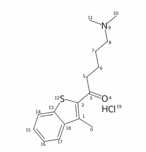 Cc1c(C(=O)CCCCN(C)C)sc2ccccc12.Cl